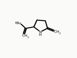 C=C1CCC(C(=C)C(C)(C)C)N1